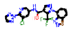 OC(Nc1cnc(-n2nccn2)c(Cl)c1)c1cnn(-c2cccc3snnc23)c1C(F)(F)F